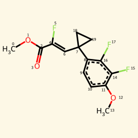 COC(=O)C(F)=CC1(c2ccc(OC)c(F)c2F)CC1